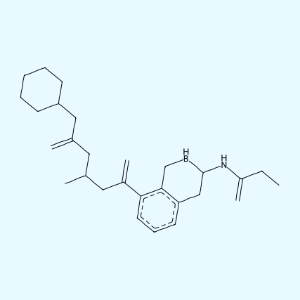 C=C(CC(C)CC(=C)c1cccc2c1CBC(NC(=C)CC)C2)CC1CCCCC1